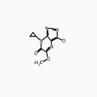 COc1nc2c(Cl)ncnc2n(C2CC2)c1=O